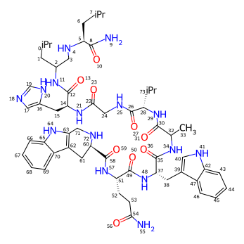 CC(C)CC(CN[C@@H](CC(C)C)C(N)=O)NC(=O)[C@H](Cc1cnc[nH]1)NC(=O)CNC(=O)[C@@H](NC(=O)C(C)NC(=O)[C@H](Cc1c[nH]c2ccccc12)NC(=O)[C@H](CCC(N)=O)NC(=O)[C@H]1Cc2c([nH]c3ccccc23)CN1)C(C)C